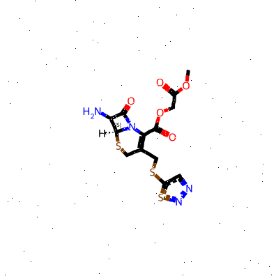 COC(=O)COC(=O)C1=C(CSc2cnns2)CS[C@H]2C(N)C(=O)N12